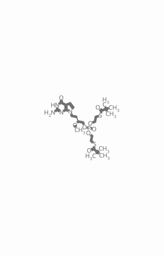 CO[C@@H](CCn1ccc2c(=O)[nH]c(N)nc21)COP(=O)(OCCSC(=O)C(C)(C)C)OCCSC(=O)C(C)(C)C